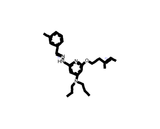 C/C=C(\C)CCOc1cc(N(CCC)CCC)cc(N/N=C/c2cccc(C)c2)n1